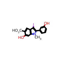 Cn1c(-c2cccc(O)c2)c(I)c2cc(C(=O)O)c(O)cc21